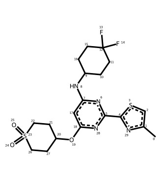 Cc1csc(-c2nc(NC3CCC(F)(F)CC3)cc(OC3CCS(=O)(=O)CC3)n2)n1